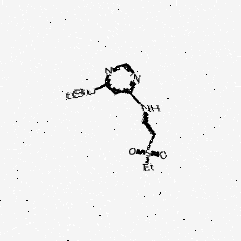 CCS(=O)(=O)CCNc1cc(C(C)(C)C)ncn1